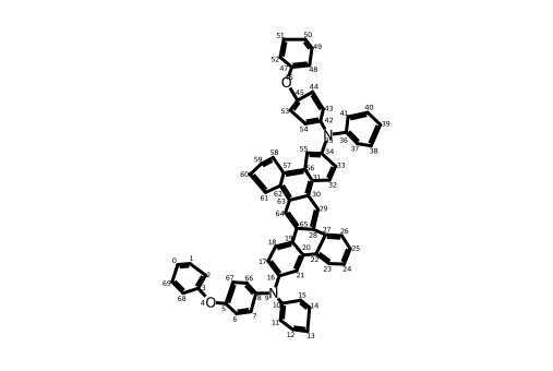 c1ccc(Oc2ccc(N(c3ccccc3)c3ccc4c(c3)c3ccccc3c3cc5c6ccc(N(c7ccccc7)c7ccc(Oc8ccccc8)cc7)cc6c6ccccc6c5cc43)cc2)cc1